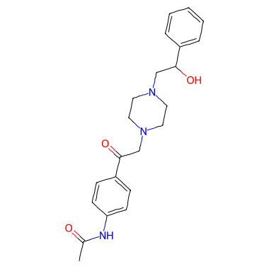 CC(=O)Nc1ccc(C(=O)CN2CCN(CC(O)c3ccccc3)CC2)cc1